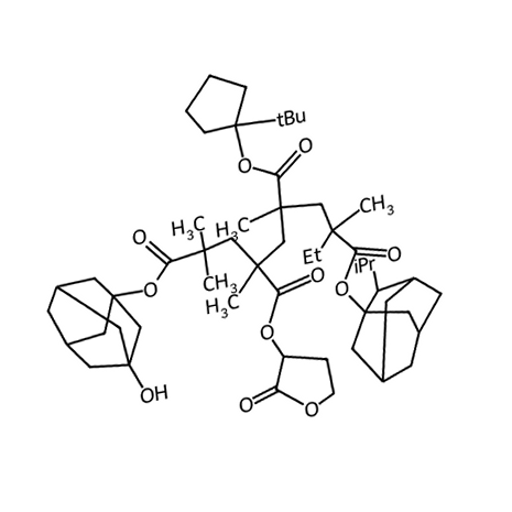 CCC(C)(CC(C)(CC(C)(CC(C)(C)C(=O)OC12CC3CC(CC(O)(C3)C1)C2)C(=O)OC1CCOC1=O)C(=O)OC1(C(C)(C)C)CCCC1)C(=O)OC12CC3CC(CC(C3)C1C(C)C)C2